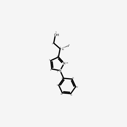 C[C@@H](CO)c1ccn(-c2ccccc2)n1